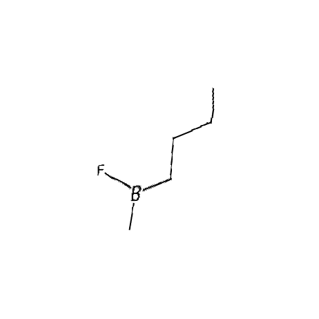 CCCCB(C)F